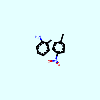 Cc1ccc([N+](=O)[O-])cc1.Cc1ccccc1N